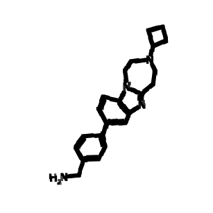 NCc1ccc(-c2ccc3c(c2)nc2n3CCN(C3CCC3)CC2)cc1